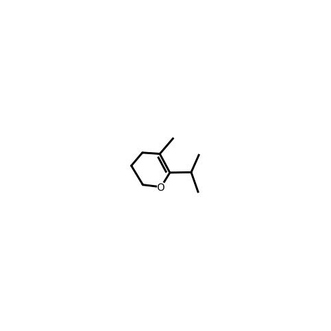 CC1=C(C(C)C)OCCC1